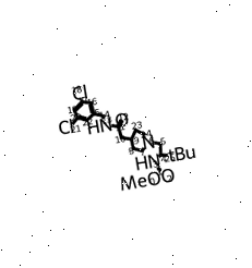 COC(=O)NC(CN1CCC(CC(=O)NCc2cc(Cl)cc(Cl)c2)CC1)C(C)(C)C